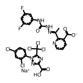 C/C(=N\NC(=O)Nc1cc(F)cc(F)c1)c1ncccc1C(=O)[O-].O=C(O)c1nc(C(Cl)(Cl)Cl)n(-c2ccc(Cl)cc2Cl)n1.[Na+]